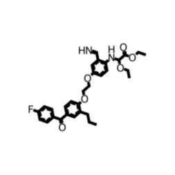 CCCc1cc(C(=O)c2ccc(F)cc2)ccc1OCCOc1ccc(NC(OCC)C(=O)OCC)c(C=N)c1